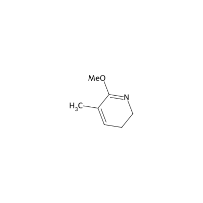 COC1=NCCC=C1C